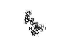 CC(C(=O)c1ccc2c(c1)OCO2)N(C)C(=O)OCOC(=O)C1=CN(Cc2ccccc2)C=CC1